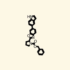 O=C(OCc1ccccc1)N1CCCC1c1nc2ccc(-c3ccc4[nH]ccc4c3)cc2o1